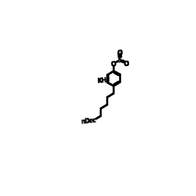 CCCCCCCCCCCCCCCc1ccc(O[SH](=O)=O)cc1.[KH]